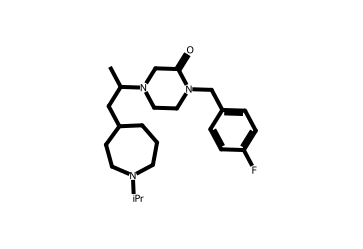 CC(C)N1CCCC(CC(C)N2CCN(Cc3ccc(F)cc3)C(=O)C2)CC1